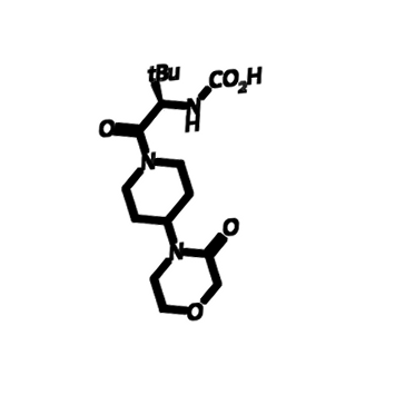 CC(C)(C)[C@@H](NC(=O)O)C(=O)N1CCC(N2CCOCC2=O)CC1